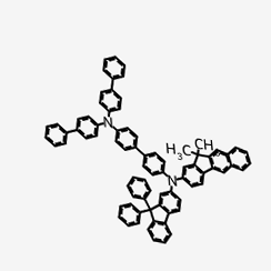 CC1(C)c2cc(N(c3ccc(-c4ccc(N(c5ccc(-c6ccccc6)cc5)c5ccc(-c6ccccc6)cc5)cc4)cc3)c3ccc4c(c3)C(c3ccccc3)(c3ccccc3)c3ccccc3-4)ccc2-c2cc3ccccc3cc21